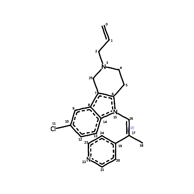 C=CCN1CCc2c(c3cc(Cl)ccc3n2/C=C(/C)c2ccncc2)C1